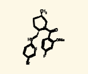 COc1cc(F)ccc1C(=O)N1C[C@@H](C)CC[C@H]1CNc1ccc(Br)cn1